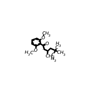 COc1cccc(OC)c1C(=O)[CH]C(C)CC(C)(C)C